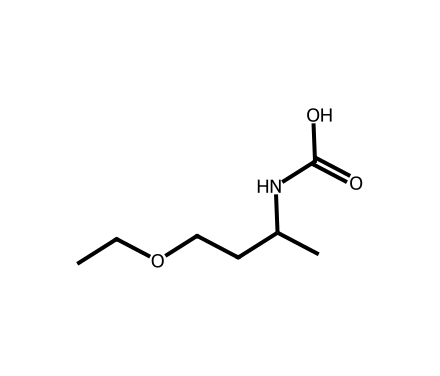 CCOCCC(C)NC(=O)O